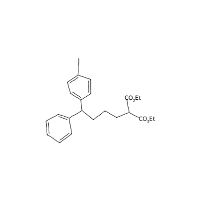 CCOC(=O)C(CCCC(c1ccccc1)c1ccc(C)cc1)C(=O)OCC